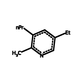 CCCc1cc(CC)cnc1C